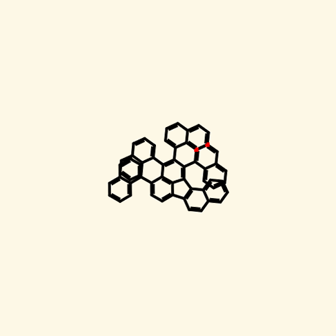 c1ccc2c(-c3c(-c4cccc5ccccc45)c4c5c(ccc(-c6cccc7ccccc67)c5c3-c3cccc5ccccc35)-c3ccc5ccccc5c3-4)cccc2c1